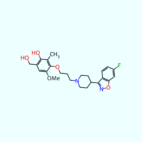 COc1cc(CO)c(O)c(C)c1OCCCN1CCC(c2noc3cc(F)ccc23)CC1